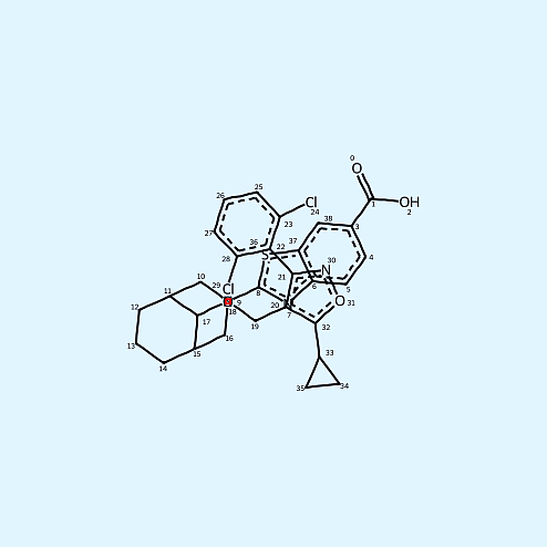 O=C(O)c1ccc2nc(N3CC4CCCC(C3)C4OCc3c(-c4c(Cl)cccc4Cl)noc3C3CC3)sc2c1